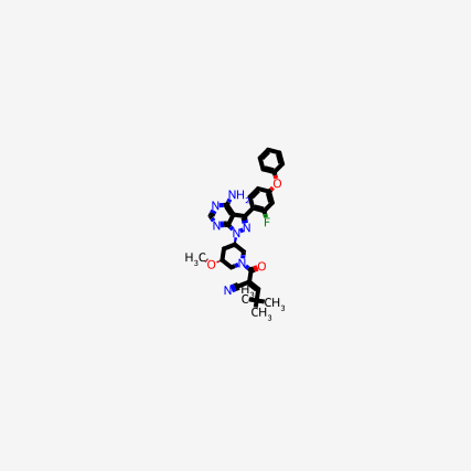 CO[C@@H]1C[C@@H](n2nc(-c3ccc(Oc4ccccc4)cc3F)c3c(N)ncnc32)CN(C(=O)/C(C#N)=C/C(C)(C)C)C1